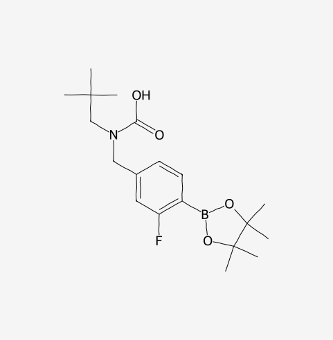 CC(C)(C)CN(Cc1ccc(B2OC(C)(C)C(C)(C)O2)c(F)c1)C(=O)O